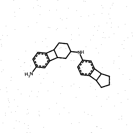 Nc1ccc2c(c1)C1CC(Nc3ccc4c(c3)C3CCCC43)CCC21